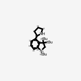 CC(C)(C)N1CC(C(C)(C)C)(C(C)(C)C)c2c(C3CCCN3)cccc21